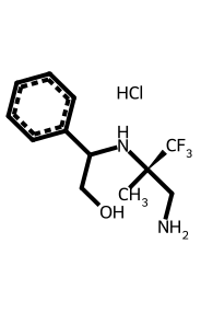 C[C@@](CN)(NC(CO)c1ccccc1)C(F)(F)F.Cl